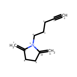 C#CCCCN1C(=C)CCC1=C